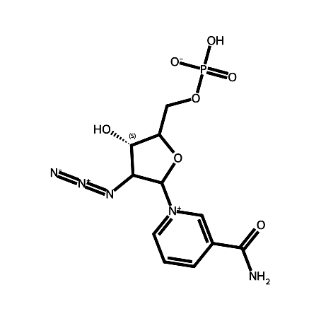 [N-]=[N+]=NC1C([n+]2cccc(C(N)=O)c2)OC(COP(=O)([O-])O)[C@H]1O